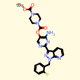 CC(C)(C)OC(=O)N1CCN(C(=O)Oc2cnc(-c3nn(Cc4ccccc4F)c4ncccc34)nc2N)CC1